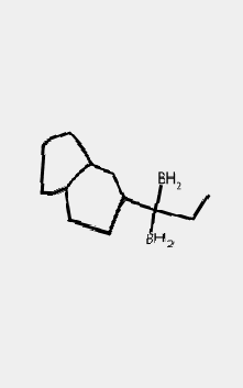 BC(B)(CC)C1CCC2CCCC2C1